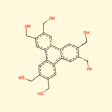 OCc1cc2c3cc(CO)c(CO)cc3c3cc(CO)c(CO)cc3c2cc1CO